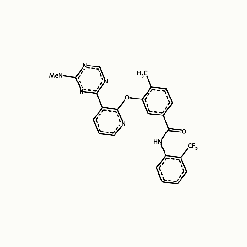 CNc1ncnc(-c2cccnc2Oc2cc(C(=O)Nc3ccccc3C(F)(F)F)ccc2C)n1